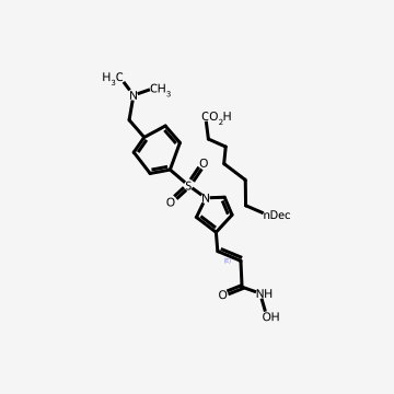 CCCCCCCCCCCCCCCC(=O)O.CN(C)Cc1ccc(S(=O)(=O)n2ccc(/C=C/C(=O)NO)c2)cc1